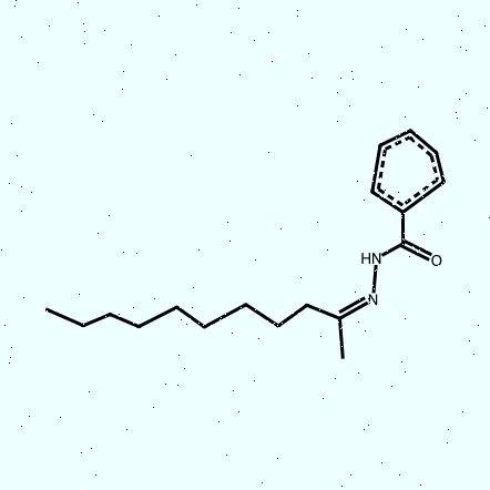 CCCCCCCCC/C(C)=N\NC(=O)c1ccccc1